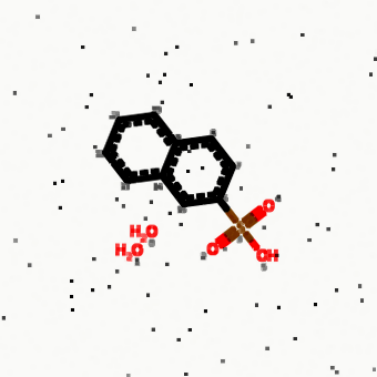 O.O.O=S(=O)(O)c1ccc2ccccc2c1